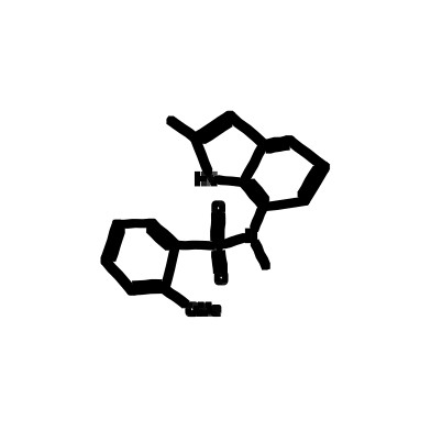 COc1ccccc1S(=O)(=O)N(C)c1cccc2cc(C)[nH]c12